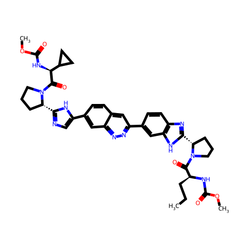 CCC[C@H](NC(=O)OC)C(=O)N1CCC[C@H]1c1nc2ccc(-c3cc4ccc(-c5cnc([C@@H]6CCCN6C(=O)[C@@H](NC(=O)OC)C6CC6)[nH]5)cc4nn3)cc2[nH]1